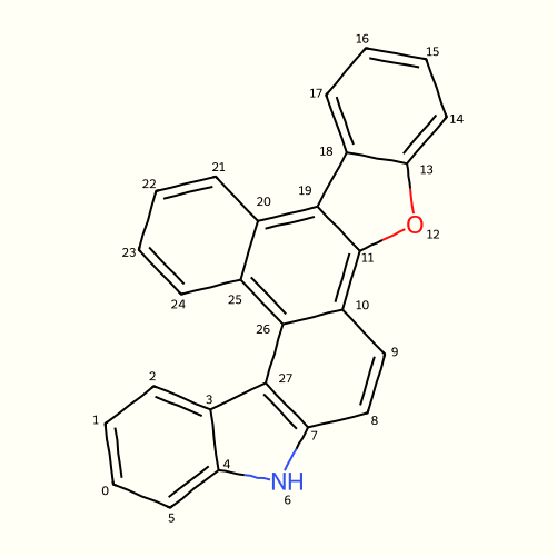 c1ccc2c(c1)[nH]c1ccc3c4oc5ccccc5c4c4ccccc4c3c12